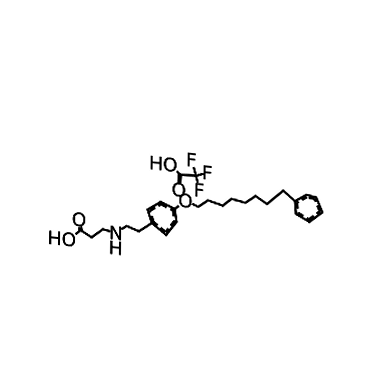 O=C(O)C(F)(F)F.O=C(O)CCNCCc1ccc(OCCCCCCCCc2ccccc2)cc1